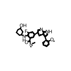 COc1ccccc1-c1c[nH]c2ncc(-c3cc(F)c(NC4CCCC(O)C4)c(C(=O)N(C)C)c3)cc12